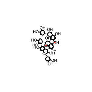 OC1=CCC([C@H]2Oc3c(c(O)cc(O)c3[C@H]3c4c(O)cc(O)cc4O[C@H](C4C=C(O)C(O)=CC4)[C@@H]3O)[C@H](c3c(O)cc(O)c4c3O[C@H](C3C=C(O)C(O)=CC3)[C@H](O)C4)[C@H]2O)C=C1O